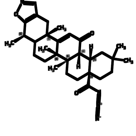 C[C@H]1c2oncc2C[C@]2(C)C3=CC(=O)[C@@H]4[C@@H]5CC(C)(C)CC[C@]5(C(=O)N=[N+]=[N-])CC[C@@]4(C)[C@]3(C)CCC12